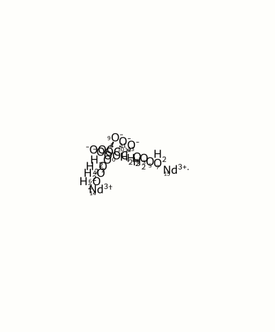 O.O.O.O.O.O.O.O.O=C([O-])[O-].O=C([O-])[O-].O=C([O-])[O-].[Nd+3].[Nd+3]